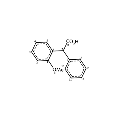 COc1ccccc1C(C(=O)O)c1ccccc1